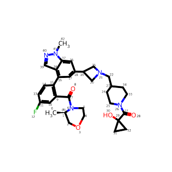 C[C@@H]1COCCN1C(=O)c1cc(F)ccc1-c1cc(C2CN(CC3CCN(C(=O)C4(O)CC4)CC3)C2)cc2c1cnn2C